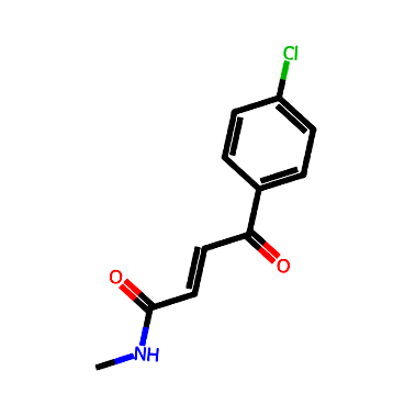 CNC(=O)/C=C/C(=O)c1ccc(Cl)cc1